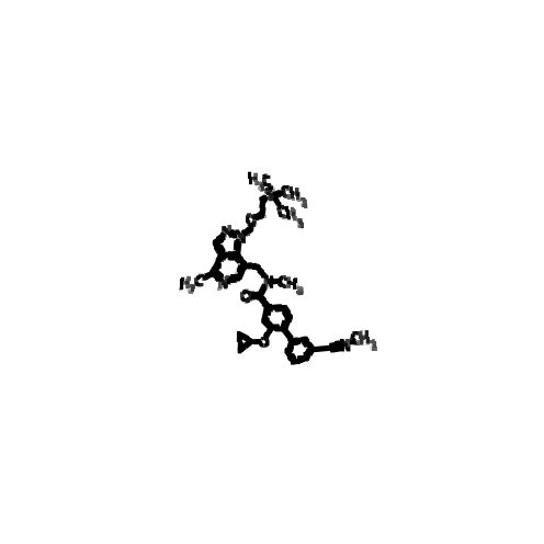 C[N+]#Cc1cccc(-c2ccc(C(=O)N(C)Cc3cnc(C)c4cnn(COCC[Si](C)(C)C)c34)cc2OC2CC2)c1